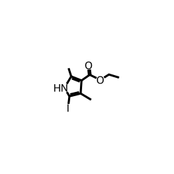 CCOC(=O)c1c(C)[nH]c(I)c1C